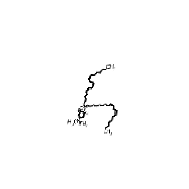 CCCCCC/C=C\C/C=C\C/C=C\CCCCC1(CCCCCCCC/C=C\C/C=C\CCCCCC)O[C@H]2C[C@H](N(C)C)C[C@H]2O1